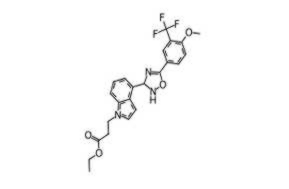 CCOC(=O)CCn1ccc2c(C3N=C(c4ccc(OC)c(C(F)(F)F)c4)ON3)cccc21